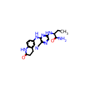 CCC(Nc1cnc(C#N)c(Nc2ccc3c(c2)CCC(=O)N3)n1)C(N)=O